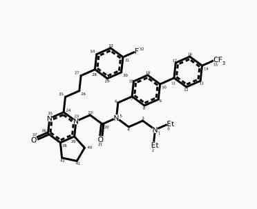 CCN(CC)CCN(Cc1ccc(-c2ccc(C(F)(F)F)cc2)cc1)C(=O)Cn1c(CCCc2ccc(F)cc2)nc(=O)c2c1CCC2